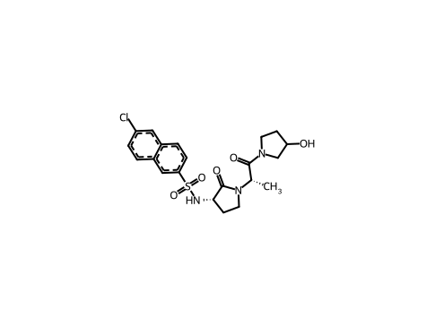 C[C@@H](C(=O)N1CCC(O)C1)N1CC[C@H](NS(=O)(=O)c2ccc3cc(Cl)ccc3c2)C1=O